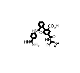 CC(C)C(CN(C)C)NC(=O)c1ccc(-c2ccccc2C(=O)Nc2ccc(C(=N)N)cc2)c(C(=O)O)c1